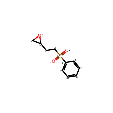 O=S(=O)(CCC1CO1)c1ccccc1